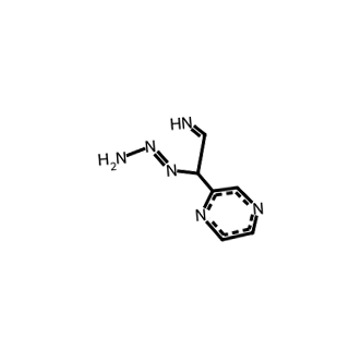 N=CC(N=NN)c1cnccn1